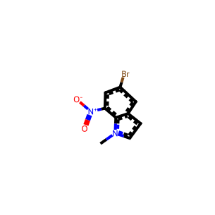 Cn1ccc2cc(Br)cc([N+](=O)[O-])c21